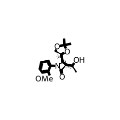 COc1ccccc1N1C(=O)[C@H]([C@H](C)O)[C@H]1[C@H]1COC(C)(C)O1